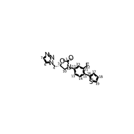 O=C1O[C@@H](Cn2ccnn2)CN1c1ccc(-c2cc[c]s2)c(F)c1